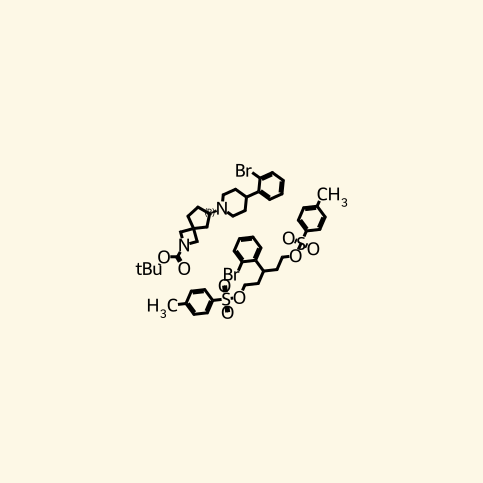 CC(C)(C)OC(=O)N1CC2(CC[C@@H](N3CCC(c4ccccc4Br)CC3)C2)C1.Cc1ccc(S(=O)(=O)OCCC(CCOS(=O)(=O)c2ccc(C)cc2)c2ccccc2Br)cc1